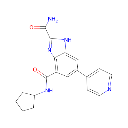 NC(=O)c1nc2c(C(=O)NC3CCCC3)cc(-c3ccncc3)cc2[nH]1